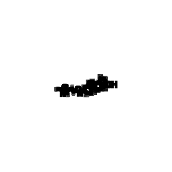 Cc1ncc(CCON=C2CCC3(C)C(CCC4C5CCC(O)C5(C)CC[C@@H]43)C2)o1